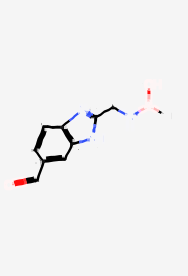 CB(O)NCc1nc2ccc(C=O)cc2[nH]1